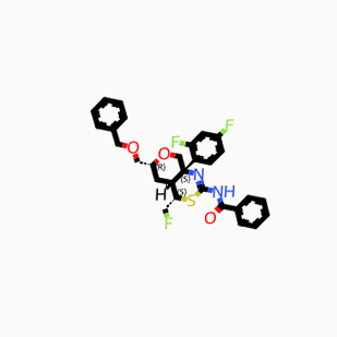 O=C(NC1=N[C@@]2(c3ccc(F)cc3F)CO[C@@H](COCc3ccccc3)C[C@H]2[C@@H](CF)S1)c1ccccc1